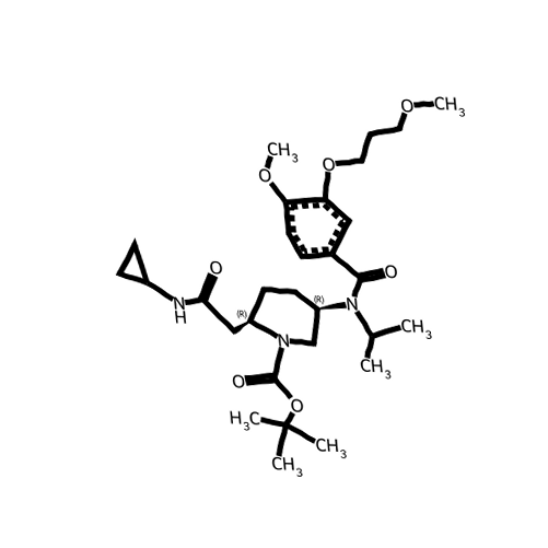 COCCCOc1cc(C(=O)N(C(C)C)[C@@H]2CC[C@H](CC(=O)NC3CC3)N(C(=O)OC(C)(C)C)C2)ccc1OC